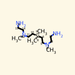 CN(CCN)CC[Si](C)(C)CCN(C)CCN